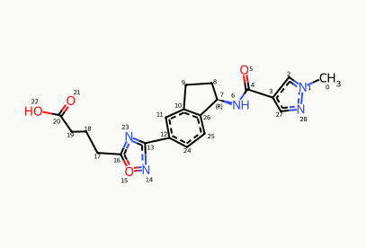 Cn1cc(C(=O)N[C@@H]2CCc3cc(-c4noc(CCCC(=O)O)n4)ccc32)cn1